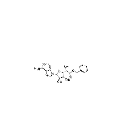 Nc1ncnc2c1ncn2[C@@H]1O[C@H](C(O)C(=O)OCc2ccccc2)[C@@H](O)[C@H]1O